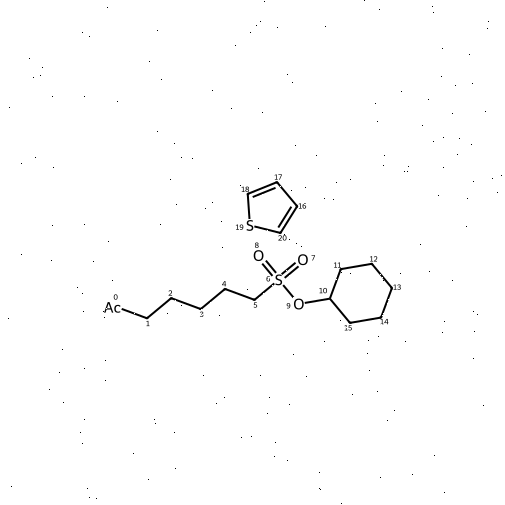 CC(=O)CCCCCS(=O)(=O)OC1CCCCC1.c1ccsc1